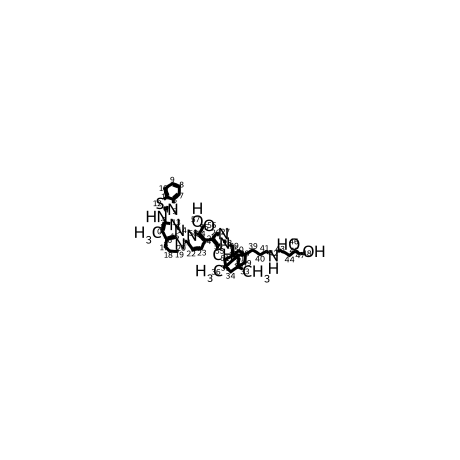 Cc1c(Nc2nc3ccccc3s2)nnc2c1CCCN2c1ccc(-c2cnn(CC34CC5(C)CC(C)(CC(CCCNCCC(O)CO)(C5)C3)C4)c2C)c(C(=O)O)n1